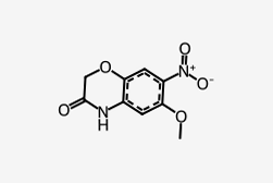 COc1cc2c(cc1[N+](=O)[O-])OCC(=O)N2